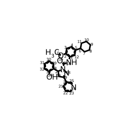 COc1ccc(C2CCCCC2)cc1NC(=O)N1N=C(c2cccnc2)CC1c1ccccc1O